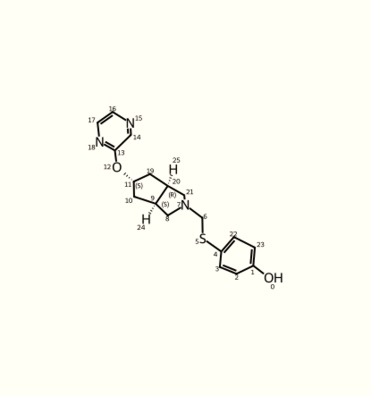 Oc1ccc(SCN2C[C@H]3C[C@H](Oc4cnccn4)C[C@H]3C2)cc1